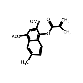 C=C(C)C(=O)Oc1c(OC)cc(OC(C)=O)c2cc(C)ccc12